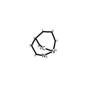 C1CC2CC[N]N(C1)CC2